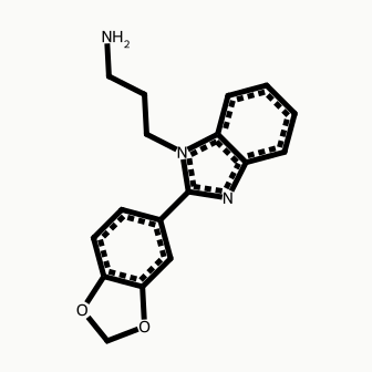 NCCCn1c(-c2ccc3c(c2)OCO3)nc2ccccc21